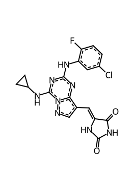 O=C1NC(=O)/C(=C/c2cnn3c(NC4CC4)nc(Nc4cc(Cl)ccc4F)nc23)N1